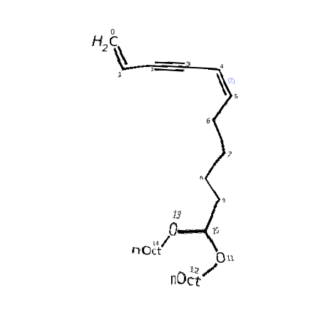 C=CC#C/C=C\CCCCC(OCCCCCCCC)OCCCCCCCC